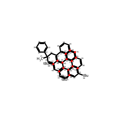 CC(C)(C)c1cc(-c2ccccc2N(C2=C(c3ccccc3)CC(C)(c3ccccc3)C=C2)c2ccccc2-c2cccc3cccc(-c4cc(C(C)(C)C)cc(C(C)(C)C)c4)c23)cc(C(C)(C)C)c1